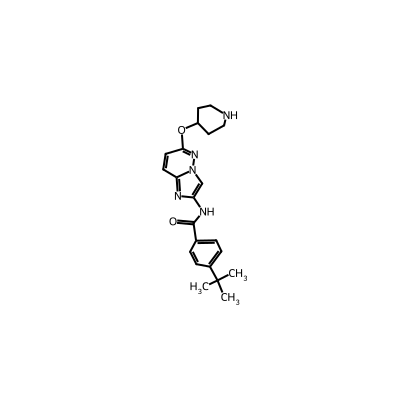 CC(C)(C)c1ccc(C(=O)Nc2cn3nc(OC4CCNCC4)ccc3n2)cc1